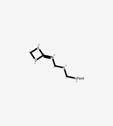 CCCCCCSCN=C1SCS1